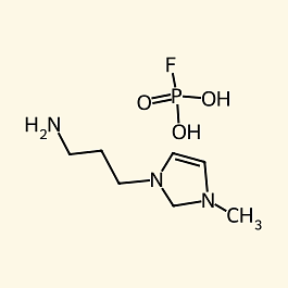 CN1C=CN(CCCN)C1.O=P(O)(O)F